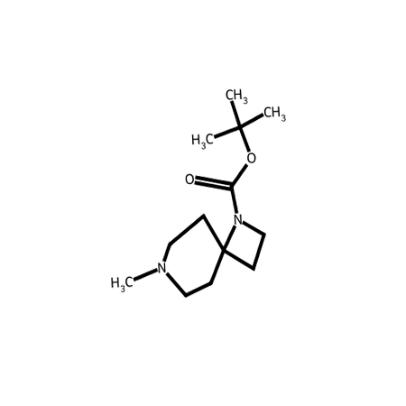 CN1CCC2(CC1)CCN2C(=O)OC(C)(C)C